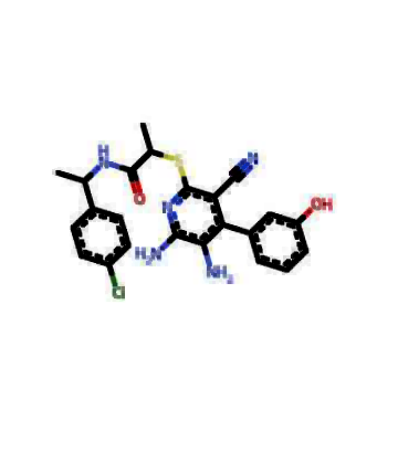 CC(Sc1nc(N)c(N)c(-c2cccc(O)c2)c1C#N)C(=O)NC(C)c1ccc(Cl)cc1